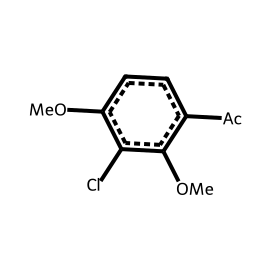 COc1ccc(C(C)=O)c(OC)c1Cl